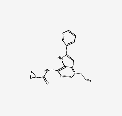 CNCc1cnc(NC(=O)C2CC2)c2[nH]c(-c3ccccc3)cc12